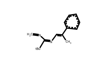 C=N/C(=N\C=C(/C)c1ccccc1)C(C)(C)C